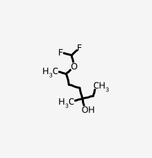 CCC(C)(O)CCC(C)OC(F)F